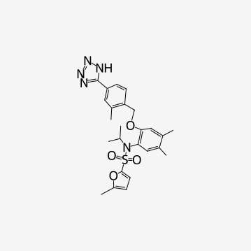 Cc1ccc(S(=O)(=O)N(c2cc(C)c(C)cc2OCc2ccc(-c3nnn[nH]3)cc2C)C(C)C)o1